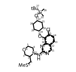 CSCC1COCCN1Nc1ncc2ccc(Cl)c(O[C@H]3CC[C@@H](O[Si](C)(C)C(C)(C)C)CC3)c2n1